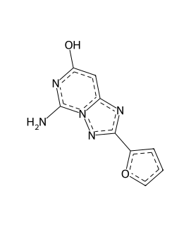 Nc1nc(O)cc2nc(-c3ccco3)nn12